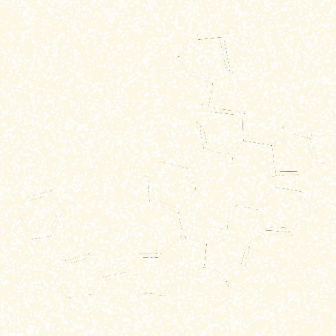 c1ccc(-c2cccc(-c3ccc4c5ccc6c7ccccc7oc6c5n(-c5cccc(-c6nc(-c7ccccc7)nc(-c7ccccc7)n6)c5)c4c3)c2)cc1